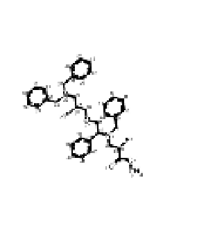 COC(=O)[C@H](F)CN(Cc1ccccc1)C(COC[C@@H](F)CN(Cc1ccccc1)Cc1ccccc1)c1ccccc1